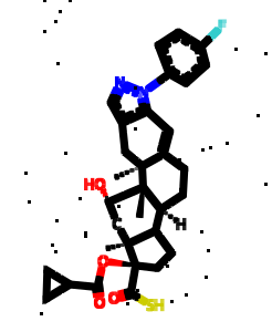 C[C@]12[C@@H](O)C[C@@]3(C)C(CC[C@]3(OC(=O)C3CC3)C(=O)S)[C@@H]1CCC1=Cc3c(cnn3-c3ccc(F)cc3)C[C@@]12C